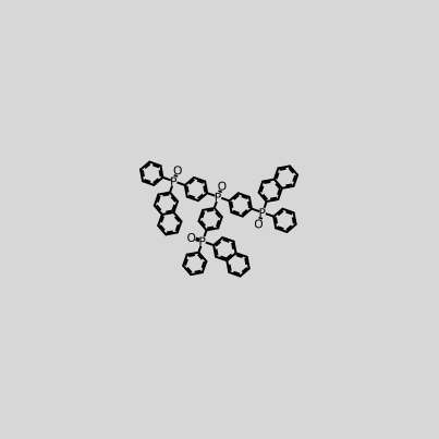 O=P(c1ccc(P(=O)(c2ccccc2)c2ccc3ccccc3c2)cc1)(c1ccc(P(=O)(c2ccccc2)c2ccc3ccccc3c2)cc1)c1ccc(P(=O)(c2ccccc2)c2ccc3ccccc3c2)cc1